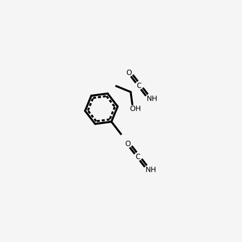 CCO.Cc1ccccc1.N=C=O.N=C=O